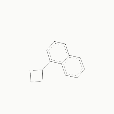 c1ccc2c([C]3OCO3)cccc2c1